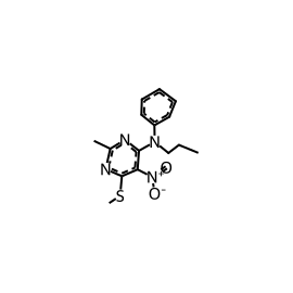 CCCN(c1ccccc1)c1nc(C)nc(SC)c1[N+](=O)[O-]